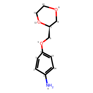 Nc1ccc(OC[C@@H]2COCCO2)cc1